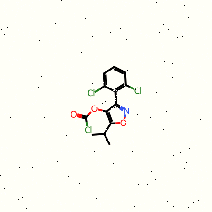 CC(C)c1onc(-c2c(Cl)cccc2Cl)c1OC(=O)Cl